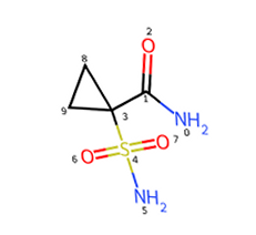 NC(=O)C1(S(N)(=O)=O)CC1